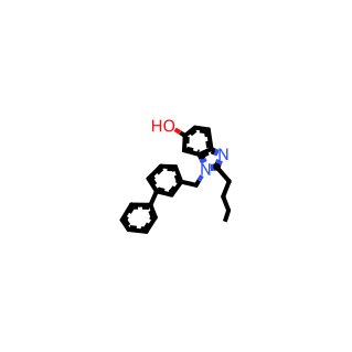 CCCCc1nc2ccc(O)cc2n1Cc1cccc(-c2ccccc2)c1